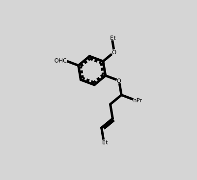 CCC=CCC(CCC)Oc1ccc(C=O)cc1OCC